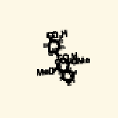 COC(=O)c1ccccc1C(=O)OC.O=C(O)C1CCC(C(=O)O)CC1